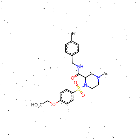 CC(=O)N1CCN(S(=O)(=O)c2ccc(OCC(=O)O)cc2)C(C(=O)NCc2ccc(C(C)C)cc2)C1